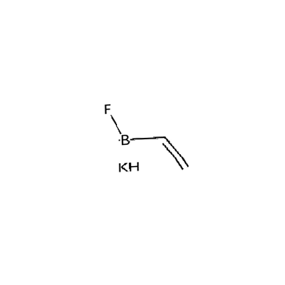 C=C[B]F.[KH]